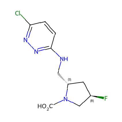 O=C(O)N1C[C@H](F)C[C@H]1CNc1ccc(Cl)nn1